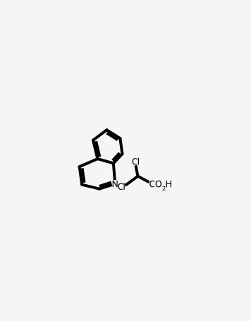 O=C(O)C(Cl)Cl.c1ccc2ncccc2c1